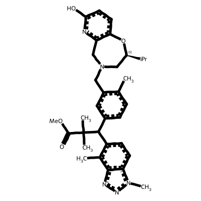 COC(=O)C(C)(C)C(c1ccc(C)c(CN2Cc3nc(O)ccc3O[C@@H](C(C)C)C2)c1)c1ccc2c(nnn2C)c1C